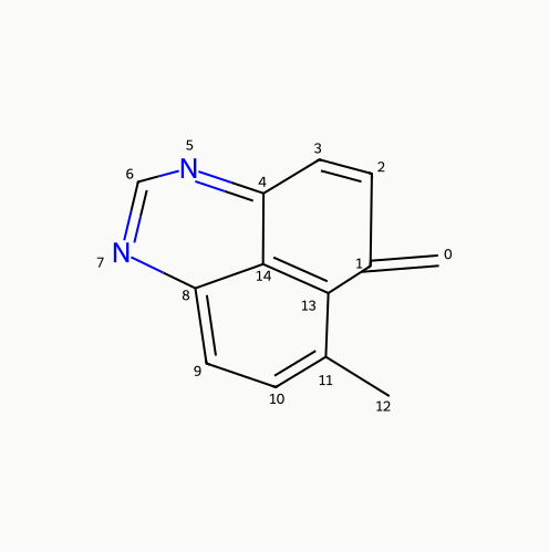 C=c1ccc2ncnc3ccc(C)c1c32